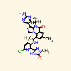 [2H]C([2H])([2H])n1c(=O)c2cc(C)cc(C(C)Nc3ccc(Cl)nc3-c3nn(C)c(=O)[nH]3)c2n2cnc(-c3cnc(N)nc3)c12